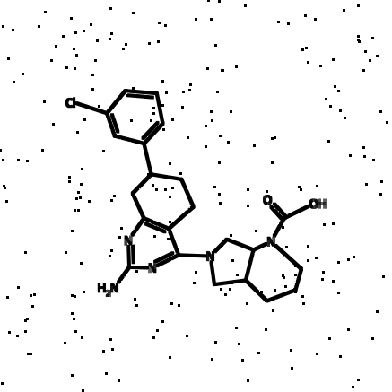 Nc1nc2c(c(N3CC4CCCN(C(=O)O)C4C3)n1)CCC(c1cccc(Cl)c1)C2